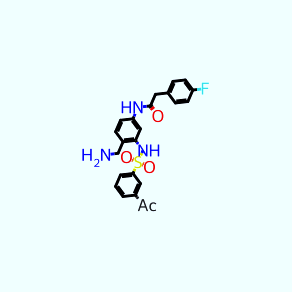 CC(=O)c1cccc(S(=O)(=O)Nc2cc(NC(=O)Cc3ccc(F)cc3)ccc2CN)c1